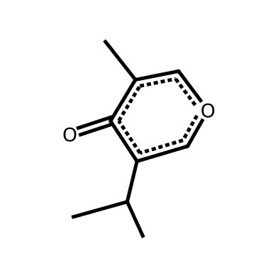 Cc1cocc(C(C)C)c1=O